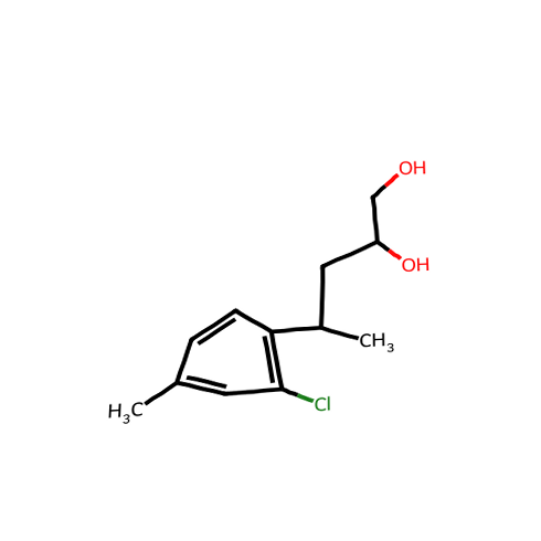 Cc1ccc(C(C)CC(O)CO)c(Cl)c1